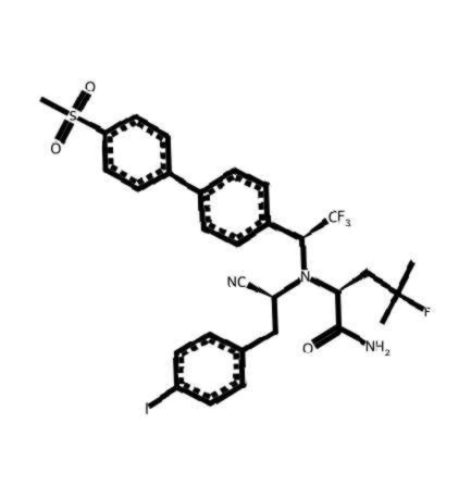 CC(C)(F)C[C@@H](C(N)=O)N([C@H](C#N)Cc1ccc(I)cc1)[C@@H](c1ccc(-c2ccc(S(C)(=O)=O)cc2)cc1)C(F)(F)F